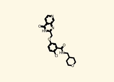 O=C(NCC1CCOCC1)c1cc(OCc2nc3cnccc3c(=O)[nH]2)ccc1Cl